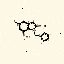 COc1cc(F)cc2cc(C=O)n(Cc3ccno3)c12